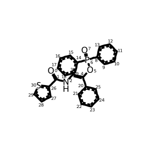 O=C(NC=C(OP(=O)(c1ccccc1)c1ccccc1)c1ccccc1)c1cccs1